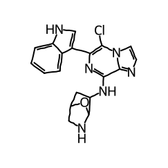 Clc1c(-c2c[nH]c3ccccc23)nc(NC2CC3CNC2O3)c2nccn12